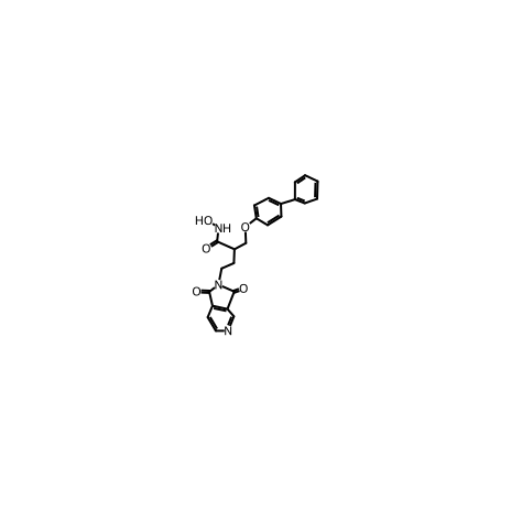 O=C(NO)C(CCN1C(=O)c2ccncc2C1=O)COc1ccc(-c2ccccc2)cc1